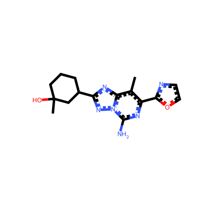 Cc1c(-c2ncco2)nc(N)n2nc(C3CCCC(C)(O)C3)nc12